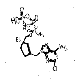 CC[C@@]1(COP(=O)(O)OP(=O)(O)OP(=O)(O)O)CC[C@H](Cn2cnc3c(N)nc(Cl)nc32)C1